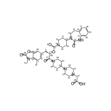 Cc1cc(C[C@@H](OC(=O)N2CCC(N3CCc4ccccc4NC3=O)CC2)C(=O)N2CCC(N3CCN(CC(=O)O)CC3)CC2)cc2oc(=O)n(C)c12